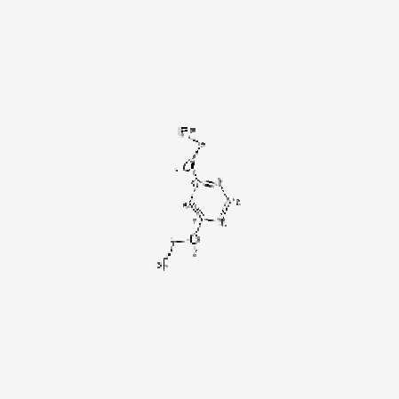 FCOc1[c]c(OCF)ccc1